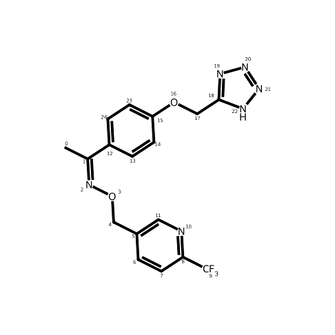 CC(=NOCc1ccc(C(F)(F)F)nc1)c1ccc(OCc2nnn[nH]2)cc1